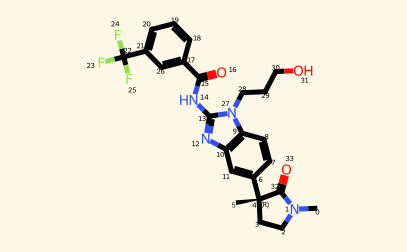 CN1CC[C@](C)(c2ccc3c(c2)nc(NC(=O)c2cccc(C(F)(F)F)c2)n3CCCO)C1=O